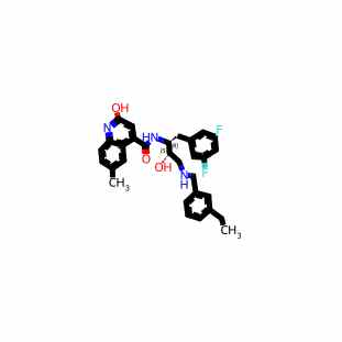 CCc1cccc(CNC[C@H](O)[C@@H](Cc2cc(F)cc(F)c2)NC(=O)c2cc(O)nc3ccc(C)cc23)c1